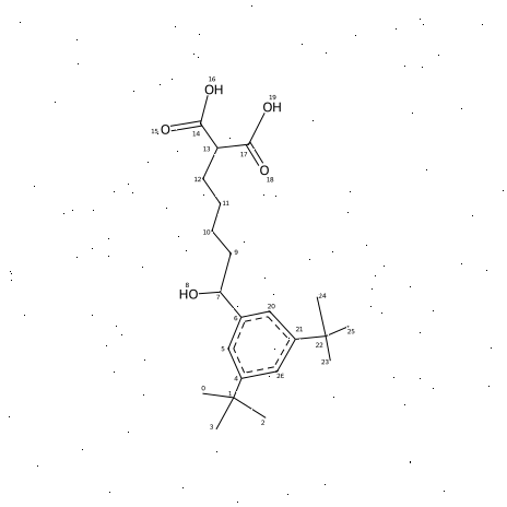 CC(C)(C)c1cc(C(O)CCCCC(C(=O)O)C(=O)O)cc(C(C)(C)C)c1